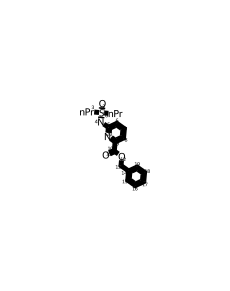 CCCS(=O)(CCC)=Nc1cccc(C(=O)OCc2ccccc2)n1